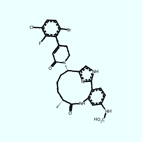 C[C@@H]1CCC[C@H](N2CCC(c3c(Br)ccc(Cl)c3F)=CC2=O)c2c[nH]c(n2)-c2ccc(NC(=O)O)cc2NC1=O